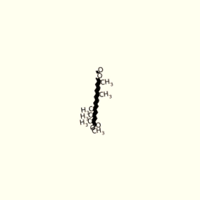 COC(=O)/C(C)=C/C(C)=C/C(C)=C/C=C/C=C(C)/C=C/C=C(\C)COC=O